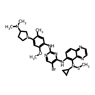 COc1cc(N2CCC(N(C)C)C2)c(C)cc1Nc1ncc(Br)c(Nc2ccc3nccnc3c2N(SC)C2CC2)n1